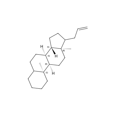 C=CCC1CC[C@H]2[C@@H]3CCC4CCCC[C@]4(C)[C@@H]3CC[C@]12C